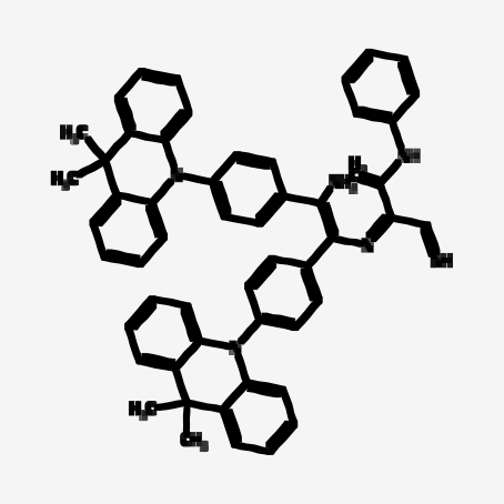 C=C(Nc1ccccc1)/C(C=N)=N\C(=C(/N)c1ccc(N2c3ccccc3C(C)(C)c3ccccc32)cc1)c1ccc(N2c3ccccc3C(C)(C)c3ccccc32)cc1